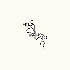 CC1(C)CC(O)(C(F)(F)F)C(Nc2cccc3c2ccc(=O)n3-c2ccc(F)cc2)c2ccc(Cl)c(O)c21